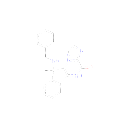 CC1(NCc2ccccc2)c2ccccc2-c2[nH]c(=O)c3nccn3c21